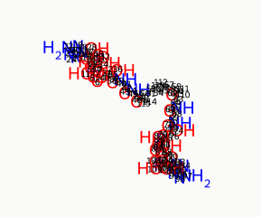 CC(C)(COP(=O)(O)OP(=O)(O)OCC1OC(n2cnc3c(N)ncnc32)C(O)C1OP(=O)(O)O)C(O)C(=O)NCCC(=O)NCCC(=O)C1(CCCc2ccc(CCCC3(C(=O)CCNC(=O)CCNC(=O)C(O)C(C)(C)COP(=O)(O)OP(=O)(O)OCC4OC(n5cnc6c(N)ncnc65)C(O)C4OP(=O)(O)O)CC3)cc2)CC1